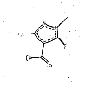 Cn1nc(C(F)(F)F)c(C(=O)Cl)c1F